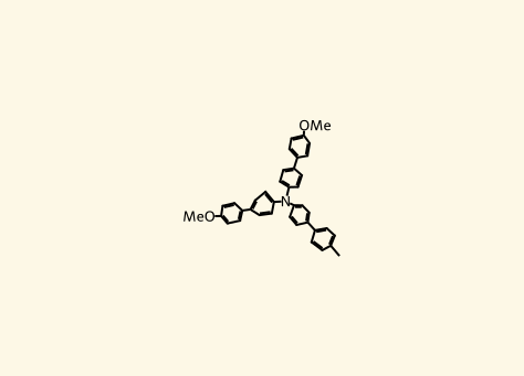 COc1ccc(-c2ccc(N(c3ccc(-c4ccc(C)cc4)cc3)c3ccc(-c4ccc(OC)cc4)cc3)cc2)cc1